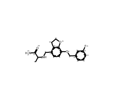 CC(NCc1ccc(OCc2cccc(F)c2)c2c1CCO2)C(N)=O